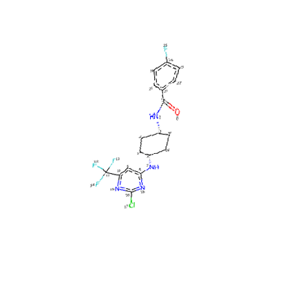 O=C(N[C@H]1CC[C@@H](Nc2cc(C(F)(F)F)nc(Cl)n2)CC1)c1ccc(F)cc1